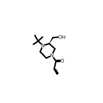 C=CC(=O)N1CCN(C(C)(C)C)[C@@H](CO)C1